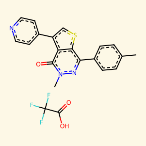 Cc1ccc(-c2nn(C)c(=O)c3c(-c4ccncc4)csc23)cc1.O=C(O)C(F)(F)F